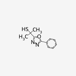 CC(C)(S)c1nnc(-c2ccccc2)o1